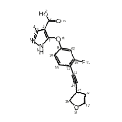 O=C(O)c1nn[nH]c1Oc1ccc(C#CC2CCOC2)c(F)c1